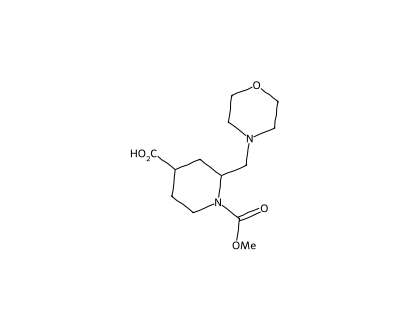 COC(=O)N1CCC(C(=O)O)CC1CN1CCOCC1